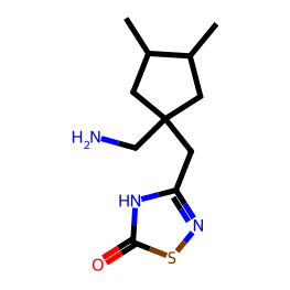 CC1CC(CN)(Cc2nsc(=O)[nH]2)CC1C